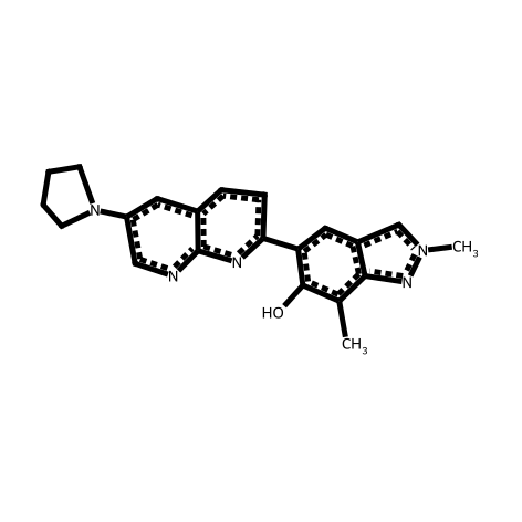 Cc1c(O)c(-c2ccc3cc(N4CCCC4)cnc3n2)cc2cn(C)nc12